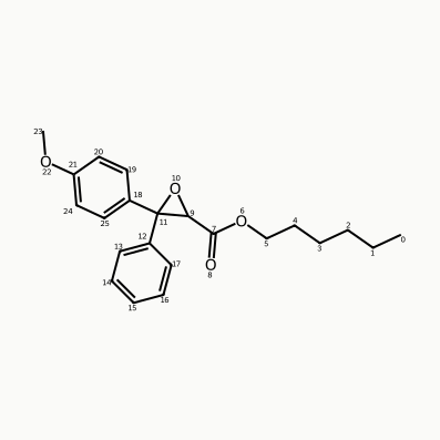 CCCCCCOC(=O)C1OC1(c1ccccc1)c1ccc(OC)cc1